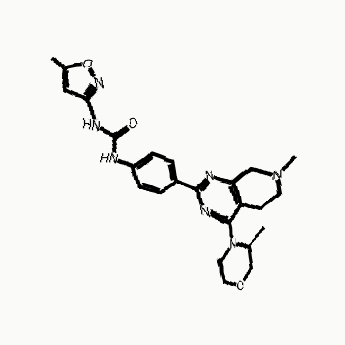 Cc1cc(NC(=O)Nc2ccc(-c3nc4c(c(N5CCOC[C@@H]5C)n3)CCN(C)C4)cc2)no1